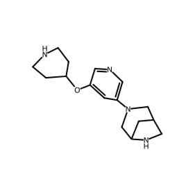 c1ncc(N2CC3CNC(C3)C2)cc1OC1CCNCC1